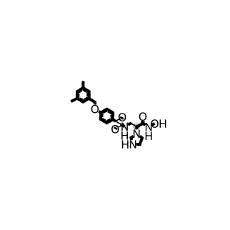 Cc1cc(C)cc(COc2ccc(S(=O)(=O)NC[C@@H](C(=O)NO)N3CCNC3)cc2)c1